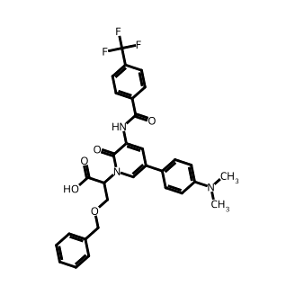 CN(C)c1ccc(-c2cc(NC(=O)c3ccc(C(F)(F)F)cc3)c(=O)n(C(COCc3ccccc3)C(=O)O)c2)cc1